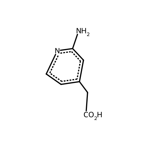 Nc1cc(CC(=O)O)ccn1